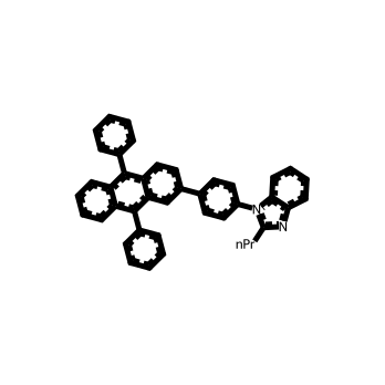 CCCc1nc2ccccc2n1-c1ccc(-c2ccc3c(-c4ccccc4)c4ccccc4c(-c4ccccc4)c3c2)cc1